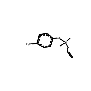 C=CC[Si](C)(C)Oc1ccc(N)cc1